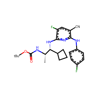 C[C@H](NC(=O)OC(C)(C)C)[C@H](Nc1nc(Nc2ccc(F)cc2)c(C#N)cc1F)C1CCC1